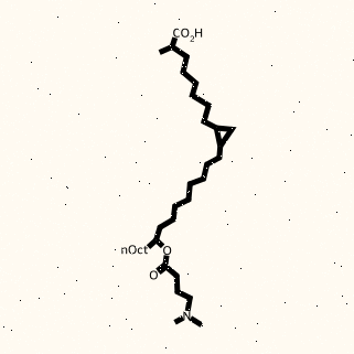 CCCCCCCCC(CCCCCCCCC1CC1CCCCCCC(C)C(=O)O)OC(=O)CCCN(C)C